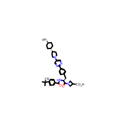 CCC[C@H]1CC[C@H](C2CCN(c3cnc(-c4ccc(C[C@H](NC(=O)c5ccc(C(C)(C)C#N)cc5)C(=O)N5CC(C(=O)O)C5)cc4)nc3)CC2)CC1